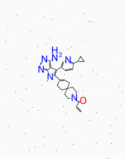 C=CC(=O)N1CCC2(CC=C(c3c(-c4ccc(C5CC5)nc4)c4c(N)ncnc4n3C)CC2)CC1